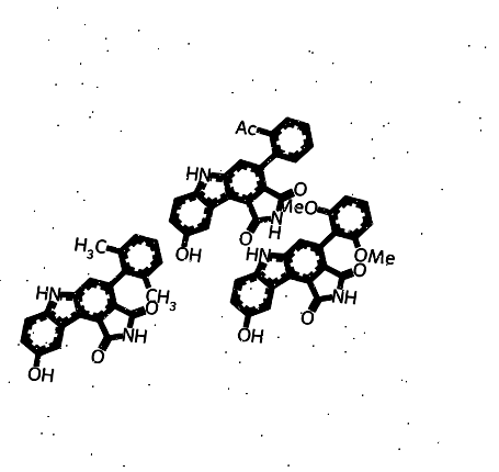 CC(=O)c1ccccc1-c1cc2[nH]c3ccc(O)cc3c2c2c1C(=O)NC2=O.COc1cccc(OC)c1-c1cc2[nH]c3ccc(O)cc3c2c2c1C(=O)NC2=O.Cc1cccc(C)c1-c1cc2[nH]c3ccc(O)cc3c2c2c1C(=O)NC2=O